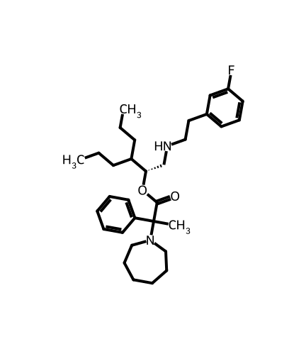 CCCC(CCC)[C@H](CNCCc1cccc(F)c1)OC(=O)C(C)(c1ccccc1)N1CCCCCC1